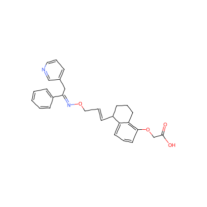 O=C(O)COc1cccc2c1CCCC2/C=C/CO/N=C(\Cc1cccnc1)c1ccccc1